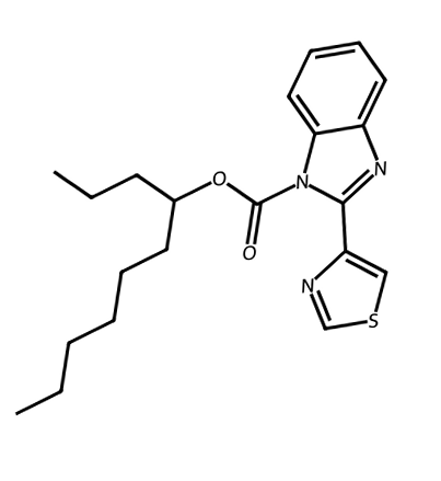 CCCCCCC(CCC)OC(=O)n1c(-c2cscn2)nc2ccccc21